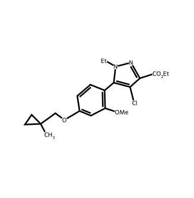 CCOC(=O)c1nn(CC)c(-c2ccc(OCC3(C)CC3)cc2OC)c1Cl